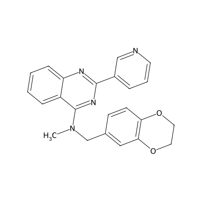 CN(Cc1ccc2c(c1)OCCO2)c1nc(-c2cccnc2)nc2ccccc12